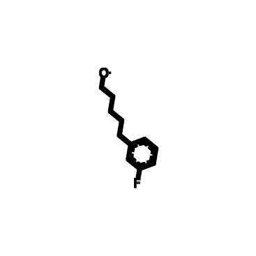 [O]CCCCCc1cccc(F)c1